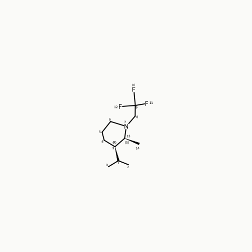 CC(C)[C@H]1CCCN(CC(F)(F)F)[C@H]1C